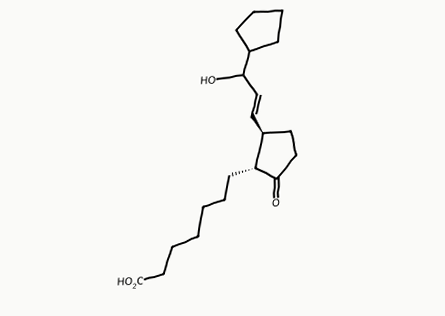 O=C(O)CCCCCC[C@H]1C(=O)CC[C@@H]1/C=C/C(O)C1CCCC1